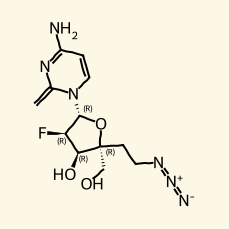 C=C1N=C(N)C=CN1[C@@H]1O[C@@](CO)(CCN=[N+]=[N-])[C@@H](O)[C@H]1F